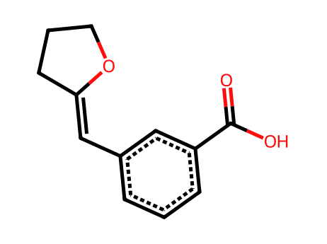 O=C(O)c1cccc(C=C2CCCO2)c1